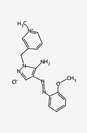 COc1ccccc1N=Nc1cnn(Cc2ccc[n+](C)c2)c1N.[Cl-]